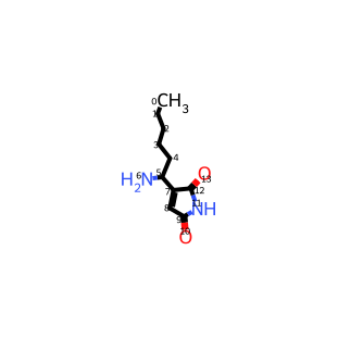 CCCCCC(N)C1=CC(=O)NC1=O